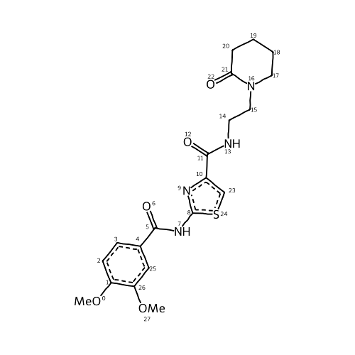 COc1ccc(C(=O)Nc2nc(C(=O)NCCN3CCCCC3=O)cs2)cc1OC